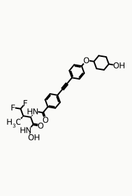 C[C@@H](C(F)F)[C@H](NC(=O)c1ccc(C#Cc2ccc(OC3CCC(O)CC3)cc2)cc1)C(=O)NO